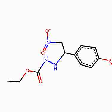 CCOC(=O)NNC(C[N+](=O)[O-])c1ccc(OC)cc1